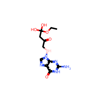 CCOC(O)(O)CC(=O)CBn1cnc2c(=O)[nH]c(N)nc21